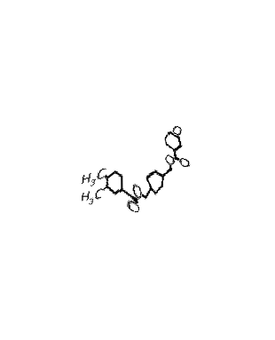 CC1CCC(C(=O)OCC2CCC(COC(=O)C3CCC4OC4C3)CC2)CC1C